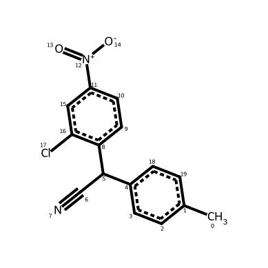 Cc1ccc(C(C#N)c2ccc([N+](=O)[O-])cc2Cl)cc1